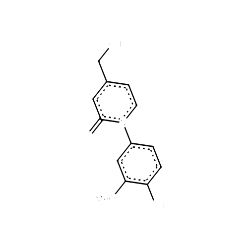 COc1cc(-n2ccc(CO)cc2=O)ccc1O